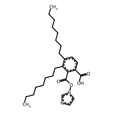 CCCCCCCCc1ccc(C(=O)O)c(C(=O)On2ccnc2)c1CCCCCCCC